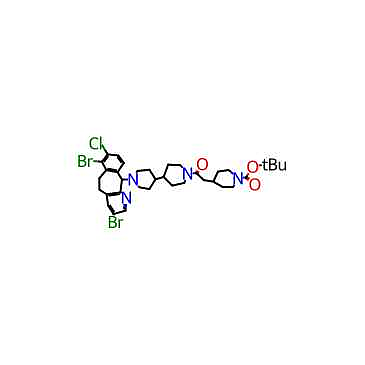 CC(C)(C)OC(=O)N1CCC(CC(=O)N2CCC(C3CCN(C4c5ccc(Cl)c(Br)c5CCc5cc(Br)cnc54)CC3)CC2)CC1